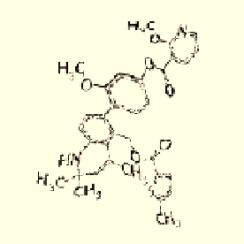 COc1cc(OC(=O)c2cccnc2OC)ccc1-c1ccc2c(c1COC(=O)c1ccc(C)s1)C(C)=CC(C)(C)N2